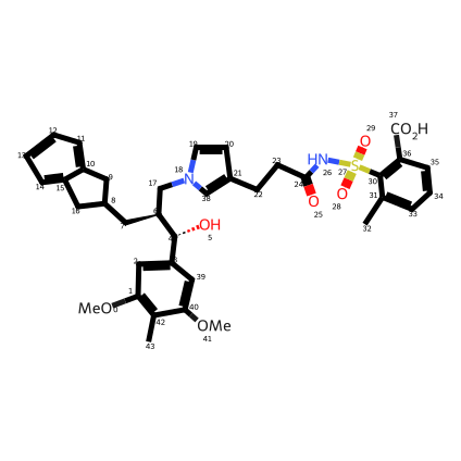 COc1cc([C@@H](O)[C@@H](CC2Cc3ccccc3C2)Cn2ccc(CCC(=O)NS(=O)(=O)c3c(C)cccc3C(=O)O)c2)cc(OC)c1C